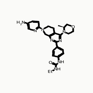 CCNC(=O)Nc1ccc(-c2nc3c(c(N4CCOC[C@@H]4C)n2)CCN(c2ccc(N)cn2)C3)cc1